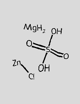 O=S(=O)(O)O.[Cl][Zn].[MgH2]